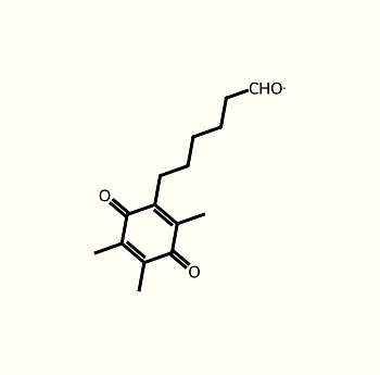 CC1=C(C)C(=O)C(CCCCC[C]=O)=C(C)C1=O